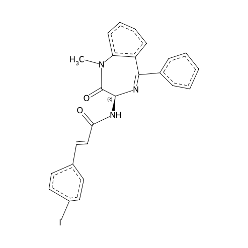 CN1C(=O)[C@H](NC(=O)C=Cc2ccc(I)cc2)N=C(c2ccccc2)c2ccccc21